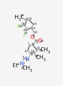 CCN(C)/C=N/c1ccc(C(=O)OCc2ccc(C)c(F)c2F)c(C)c1C